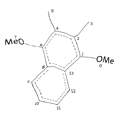 COc1c(C)c(C)c(OC)c2ccccc12